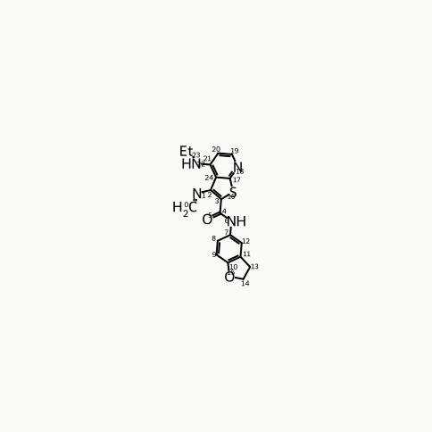 C=Nc1c(C(=O)Nc2ccc3c(c2)CCO3)sc2nccc(NCC)c12